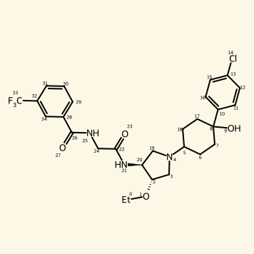 CCO[C@H]1CN(C2CCC(O)(c3ccc(Cl)cc3)CC2)C[C@@H]1NC(=O)CNC(=O)c1cccc(C(F)(F)F)c1